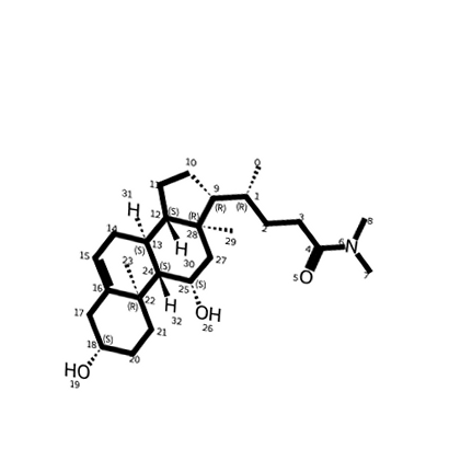 C[C@H](CCC(=O)N(C)C)[C@H]1CC[C@H]2[C@@H]3CC=C4C[C@@H](O)CC[C@]4(C)[C@H]3[C@@H](O)C[C@]12C